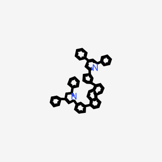 C1=C(c2ccccc2)CC(c2ccccc2)N=C1c1cccc(-c2cccc3c2ccc2c(-c4cccc(-c5cc(-c6ccccc6)cc(-c6ccccc6)n5)c4)cccc23)c1